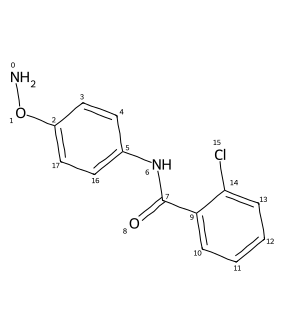 NOc1ccc(NC(=O)c2ccccc2Cl)cc1